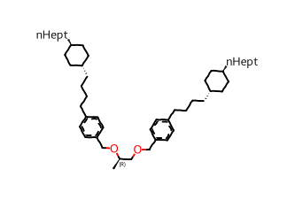 CCCCCCC[C@H]1CC[C@H](CCCCc2ccc(COC[C@@H](C)OCc3ccc(CCCC[C@H]4CC[C@H](CCCCCCC)CC4)cc3)cc2)CC1